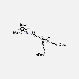 CCCCCCCCCCCCCCCC(=O)OCC(COC(=O)CCCCCCCCCCCCCCC)OCCCCOC(=O)CC/C(C)=C/Cc1c(O)c2c(c(C)c1OC)COC2=O